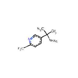 CC(=O)NC(C)(C)c1ccc(C(F)(F)F)nc1